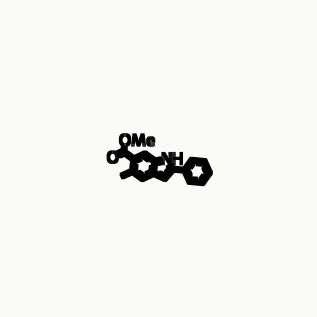 COC(=O)c1cc2[nH]c(-c3ccccc3)cc2cc1C